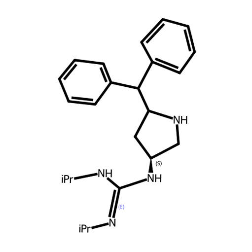 CC(C)/N=C(\NC(C)C)N[C@@H]1CNC(C(c2ccccc2)c2ccccc2)C1